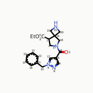 CCOC(=O)C1CN(C(=O)c2cnn(Cc3ccccc3)c2)CC12CNC2